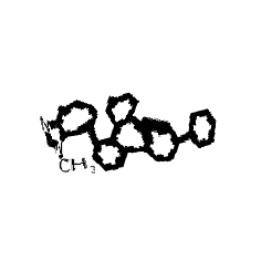 Cn1cnc2cccc(-c3cccc4c5ccc(-c6ccccc6)cc5c5ccccc5c34)c21